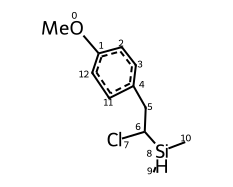 COc1ccc(CC(Cl)[SiH](C)C)cc1